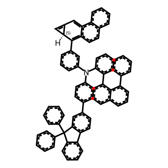 C1=C2C=c3c(ccc4ccccc34)=C(c3cccc(N(c4ccc(-c5ccc6c(c5)C(c5ccccc5)(c5ccccc5)c5ccccc5-6)cc4)c4ccccc4-c4cccc5cccc(-c6ccccc6)c45)c3)[C@@H]12